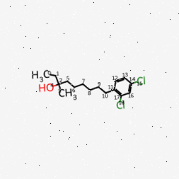 CCC(C)(O)CCCCCCc1ccc(Cl)cc1Cl